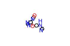 c1cncc(N[C@H]2CC[C@@H](Oc3cc(N4CCOCC4)cc4nccnc34)CC2)c1